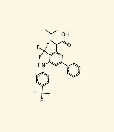 CC(C)CC(C(=O)O)c1cc(-c2ccccc2)cc(Nc2ccc(C(F)(F)F)cc2)c1C(F)(F)F